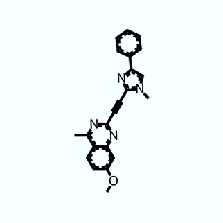 COc1ccc2c(C)nc(C#Cc3nc(-c4ccccc4)cn3C)nc2c1